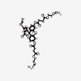 COCCOC(=O)CCC(=O)Oc1ccc2c(c1)Oc1cc(OC(=O)CCC(=O)OCCOC)ccc1C21OC(=O)c2cc(N=C=S)ccc21